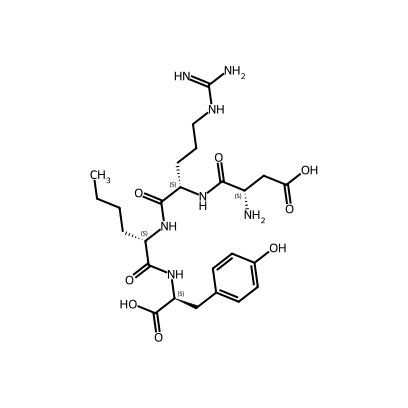 CCCC[C@H](NC(=O)[C@H](CCCNC(=N)N)NC(=O)[C@@H](N)CC(=O)O)C(=O)N[C@@H](Cc1ccc(O)cc1)C(=O)O